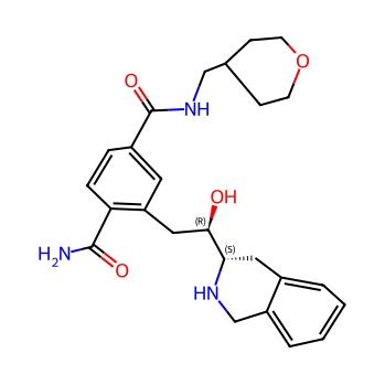 NC(=O)c1ccc(C(=O)NCC2CCOCC2)cc1C[C@@H](O)[C@@H]1Cc2ccccc2CN1